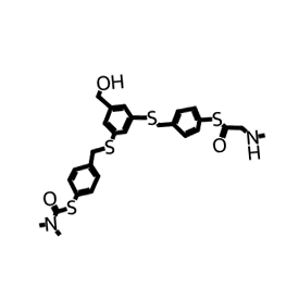 CNCC(=O)Sc1ccc(CSc2cc(CO)cc(SCc3ccc(SC(=O)N(C)C)cc3)c2)cc1